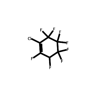 FC1=C(Cl)C(F)(F)C(F)(F)C(F)(F)C1F